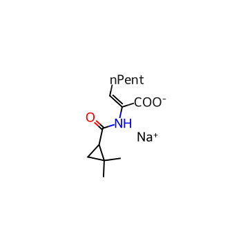 CCCCCC=C(NC(=O)C1CC1(C)C)C(=O)[O-].[Na+]